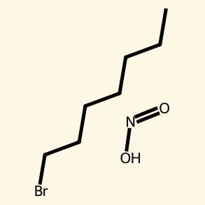 CCCCCCCBr.O=NO